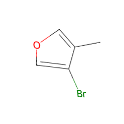 Cc1cocc1Br